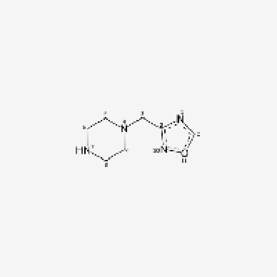 c1nc(CN2CCNCC2)no1